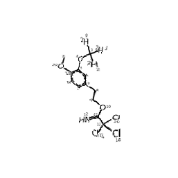 [2H]C([2H])([2H])Oc1cc(CCOC(=N)C(Cl)(Cl)Cl)ccc1OC